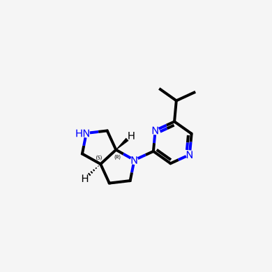 CC(C)c1cncc(N2CC[C@H]3CNC[C@@H]32)n1